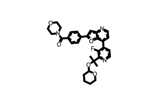 CC(C)(OC1CCCCO1)c1nccc(-c2ccnc3cc(-c4ccc(C(=O)N5CCOCC5)cc4)oc23)c1F